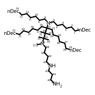 CCCCCCCCCCCCCCCCN(CCCCCCCCCCCCCCCC)C(CCCCCCCCCCCCCCCC)(CCCCCCCCCCCCCCCC)C(C)(C)C(C)(C)N(I)CCCCNCCCN